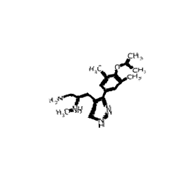 CNC(CN)Cc1c[nH]nc1-c1cc(C)c(OC(C)C)c(C)c1